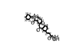 CC(=O)N1CCC2(CC(=O)c3cc(/C=C/C(=O)NO)ccc3O2)CC1C(=O)Nc1ccccc1